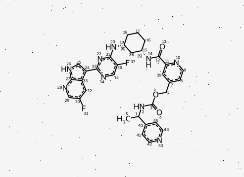 CC(NC(=O)OCc1ccnc(C(=O)N[C@H]2CCC[C@@H](Nc3nc(-c4c[nH]c5ncc(F)cc45)ncc3F)C2)c1)c1ccncc1